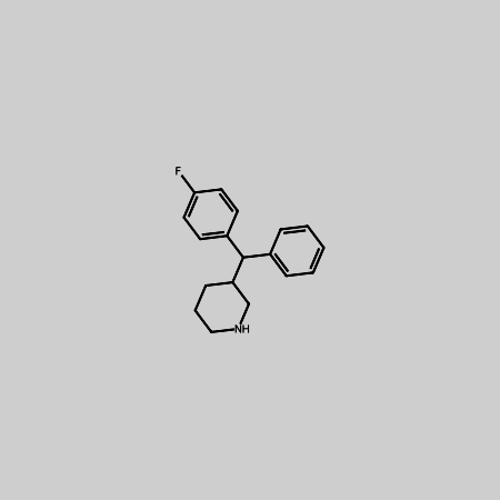 Fc1ccc(C(c2ccccc2)C2CCCNC2)cc1